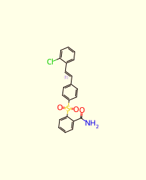 NC(=O)c1ccccc1S(=O)(=O)c1ccc(/C=C/c2ccccc2Cl)cc1